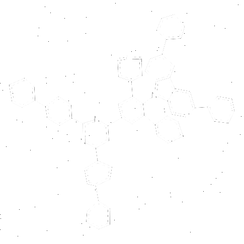 c1ccc(-c2ccc(-c3cc(-c4cc(-c5ccccc5)c(-n5c6ccc(-c7ccccc7)cc6c6cc(-c7ccccc7)ccc65)c(-c5ccccc5)c4)nc(-c4ccc(-c5ccccc5)cc4)n3)cc2)cc1